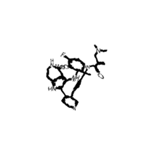 C=C(CN(C)C)C(=O)NC(C)(C)C#Cc1cnccc1-c1[nH]c2c(c1Nc1cccc(F)c1OC)C(=O)NCC2